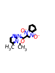 CCOC(Nc1nccc(C)n1)c1c[n+]([O-])c2ccccc2[n+]1[O-]